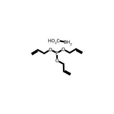 BC(=O)O.C=CCOP(OCC=C)OCC=C